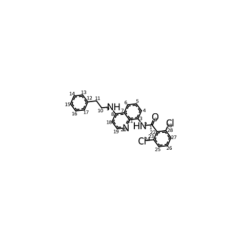 O=C(Nc1cccc2c(NCCc3ccccc3)ccnc12)c1c(Cl)cccc1Cl